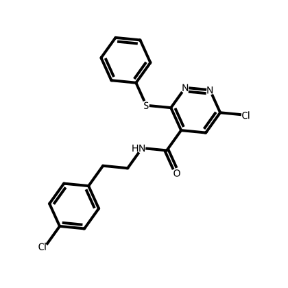 O=C(NCCc1ccc(Cl)cc1)c1cc(Cl)nnc1Sc1ccccc1